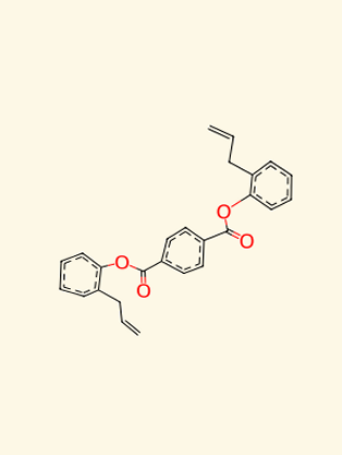 C=CCc1ccccc1OC(=O)c1ccc(C(=O)Oc2ccccc2CC=C)cc1